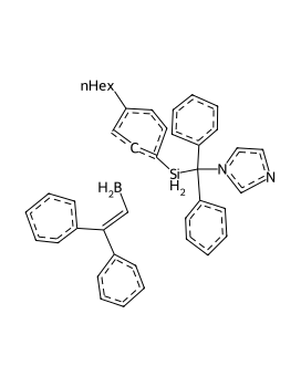 BC=C(c1ccccc1)c1ccccc1.CCCCCCc1ccc([SiH2]C(c2ccccc2)(c2ccccc2)n2ccnc2)cc1